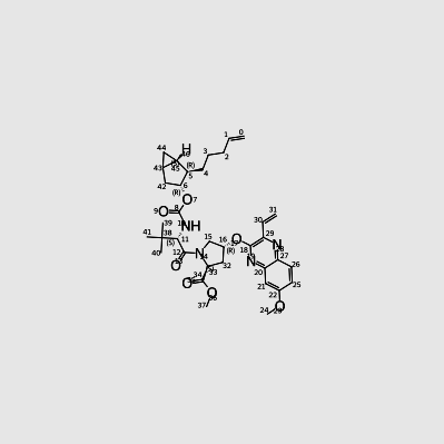 C=CCCC[C@H]1[C@H](OC(=O)N[C@H](C(=O)N2C[C@H](Oc3nc4cc(OC)ccc4nc3C=C)C[C@H]2C(=O)OC)C(C)(C)C)CC2C[C@@H]21